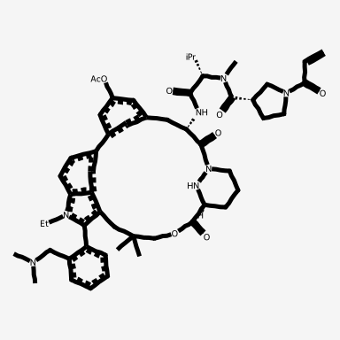 C=CC(=O)N1CC[C@H](C(=O)N(C)[C@H](C(=O)N[C@H]2Cc3cc(OC(C)=O)cc(c3)-c3ccc4c(c3)c(c(-c3ccccc3CN(C)C)n4CC)CC(C)(C)COC(=O)[C@@H]3CCCN(N3)C2=O)C(C)C)C1